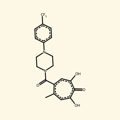 Cc1cc(O)c(=O)c(O)cc1C(=O)N1CCN(c2ccc(C(F)(F)F)cc2)CC1